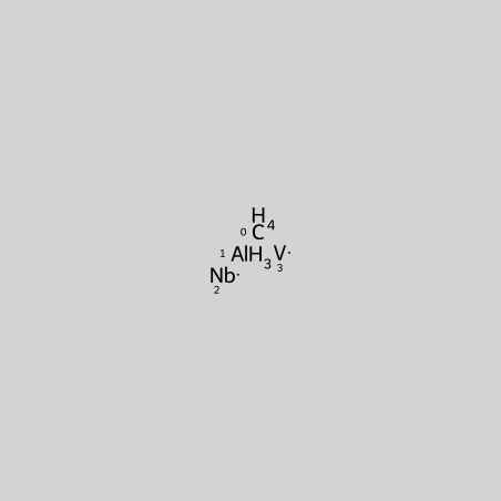 C.[AlH3].[Nb].[V]